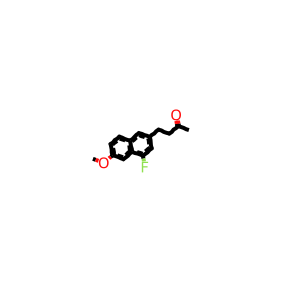 COc1ccc2cc(CCC(C)=O)cc(F)c2c1